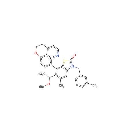 Cc1cc2c(sc(=O)n2Cc2cccc(C(F)(F)F)c2)c(-c2ccc3c4c(ccnc24)CCO3)c1[C@H](OC(C)(C)C)C(=O)O